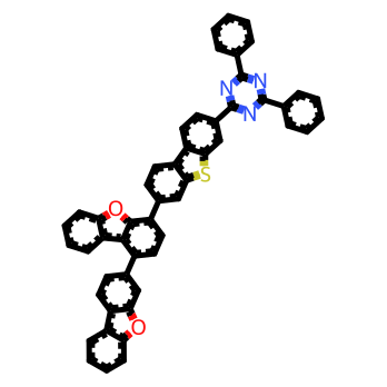 c1ccc(-c2nc(-c3ccccc3)nc(-c3ccc4c(c3)sc3cc(-c5ccc(-c6ccc7c(c6)oc6ccccc67)c6c5oc5ccccc56)ccc34)n2)cc1